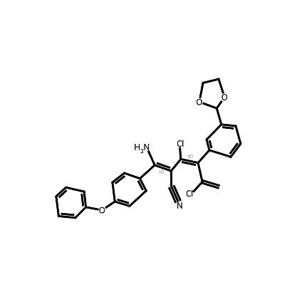 C=C(Cl)/C(=C(Cl)\C(C#N)=C(/N)c1ccc(Oc2ccccc2)cc1)c1cccc(C2OCCO2)c1